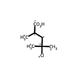 CC(CC(C)(C)Cl)C(=O)O